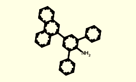 Nc1c(-c2ccccc2)cc(-c2cc3ccccc3c3ccccc23)cc1-c1ccccc1